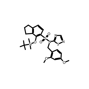 COc1ccc(CN(c2ncns2)S(=O)(=O)c2ccc3c(c2O[Si](C)(C)C(C)(C)C)CCC3)c(OC)c1